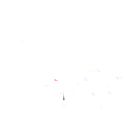 C#C[C@]1(CO)O[C@@H](n2cnc3c(N)nc(F)nc32)C[C@@H]1OC(=O)COCCOCC